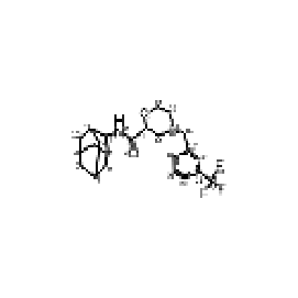 O=C(NC1C2CC3CC(C2)CC1C3)C1CN(Cc2cccc(C(F)(F)F)c2)CCO1